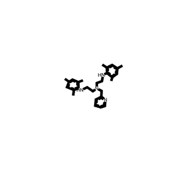 Cc1cc(C)c(NCCN(CCNc2c(C)cc(C)cc2C)Cc2ccccn2)c(C)c1